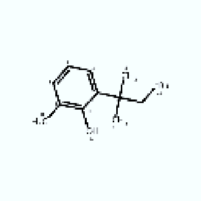 Cc1cccc(C(C)(C)CC(C)(C)C)c1O